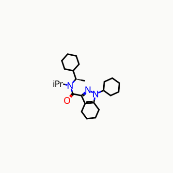 CC(C)N(C(=O)c1nn(C2CCCCC2)c2c1CCCC2)[C@H](C)C1CCCCC1